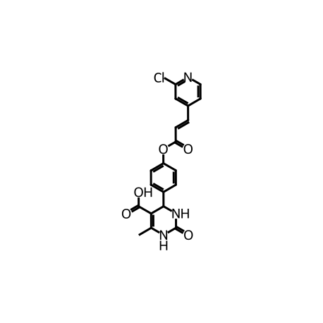 CC1=C(C(=O)O)C(c2ccc(OC(=O)C=Cc3ccnc(Cl)c3)cc2)NC(=O)N1